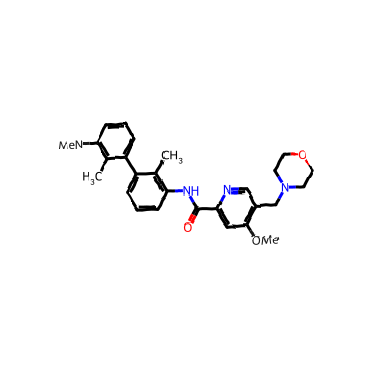 CNc1cccc(-c2cccc(NC(=O)c3cc(OC)c(CN4CCOCC4)cn3)c2C)c1C